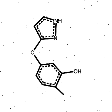 Cc1ccc(Oc2cc[nH]n2)cc1O